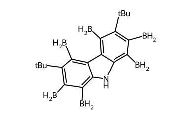 Bc1c(C(C)(C)C)c(B)c2c([nH]c3c(B)c(B)c(C(C)(C)C)c(B)c32)c1B